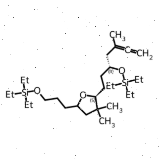 C=C=C(C)C[C@@H](CC[C@@H]1OC(CCCO[Si](CC)(CC)CC)CC1(C)C)O[Si](CC)(CC)CC